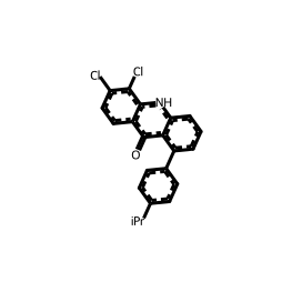 CC(C)c1ccc(-c2cccc3[nH]c4c(Cl)c(Cl)ccc4c(=O)c23)cc1